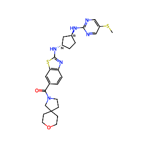 CSc1cnc(N[C@H]2CC[C@H](Nc3nc4ccc(C(=O)N5CCC6(CCOCC6)C5)cc4s3)C2)nc1